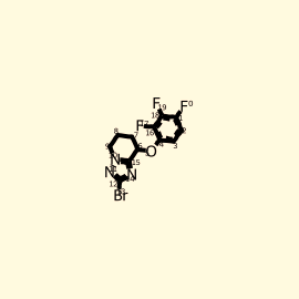 Fc1ccc(OC2CCCn3nc(Br)nc32)c(F)c1F